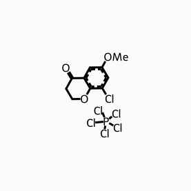 COc1cc(Cl)c2c(c1)C(=O)CCO2.ClP(Cl)(Cl)(Cl)Cl